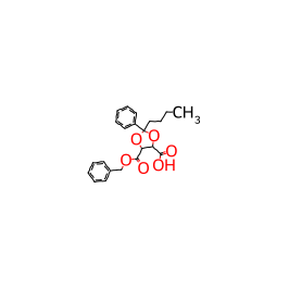 CCCCC1(c2ccccc2)OC(C(=O)O)C(C(=O)OCc2ccccc2)O1